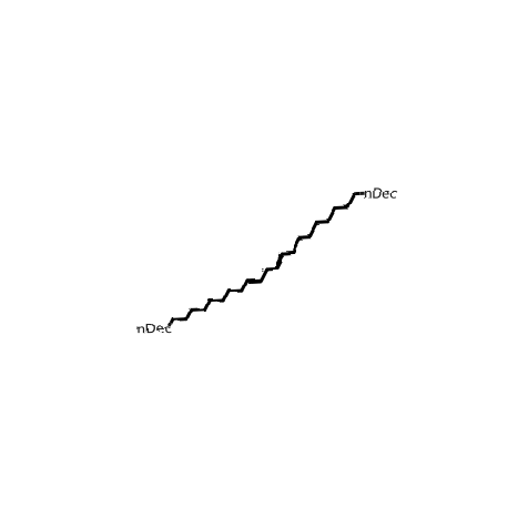 CCCCCCCCCCCCCCCCCC/C=C/[C]/C=C/CCCCCCCCCCCCCCCCCC